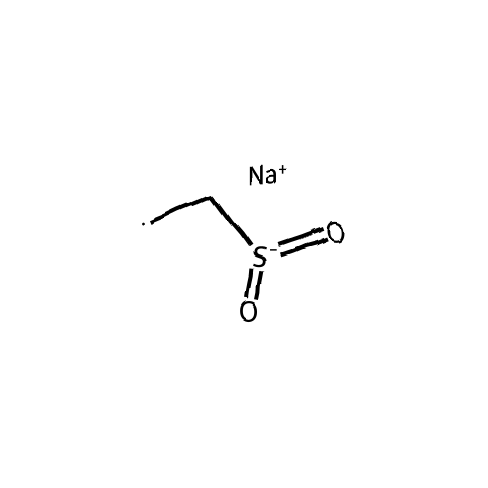 [CH2]C[S-](=O)=O.[Na+]